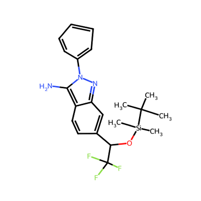 CC(C)(C)[Si](C)(C)OC(c1ccc2c(N)n(-c3ccccc3)nc2c1)C(F)(F)F